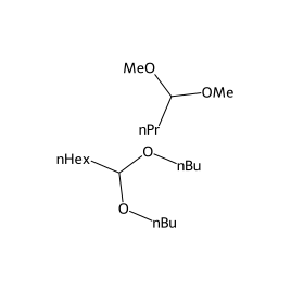 CCCC(OC)OC.CCCCCCC(OCCCC)OCCCC